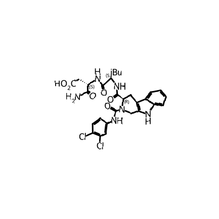 CCC(C)[C@H](NC(=O)[C@H]1Cc2c([nH]c3ccccc23)CN1C(=O)Nc1ccc(Cl)c(Cl)c1)C(=O)N[C@@H](CC(=O)O)C(N)=O